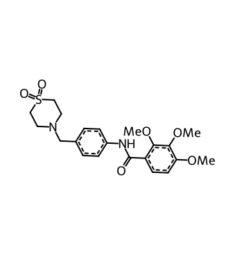 COc1ccc(C(=O)Nc2ccc(CN3CCS(=O)(=O)CC3)cc2)c(OC)c1OC